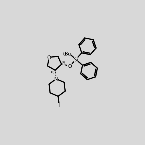 CC(C)(C)[Si](O[C@H]1COC[C@H]1N1CCC(I)CC1)(c1ccccc1)c1ccccc1